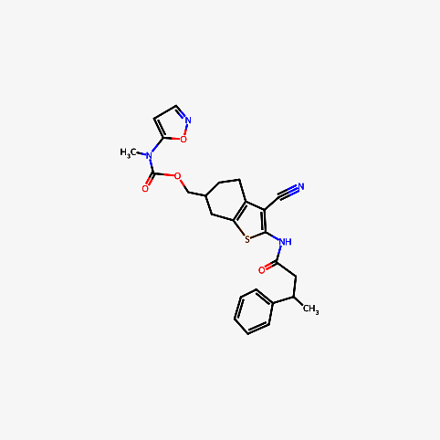 CC(CC(=O)Nc1sc2c(c1C#N)CCC(COC(=O)N(C)c1ccno1)C2)c1ccccc1